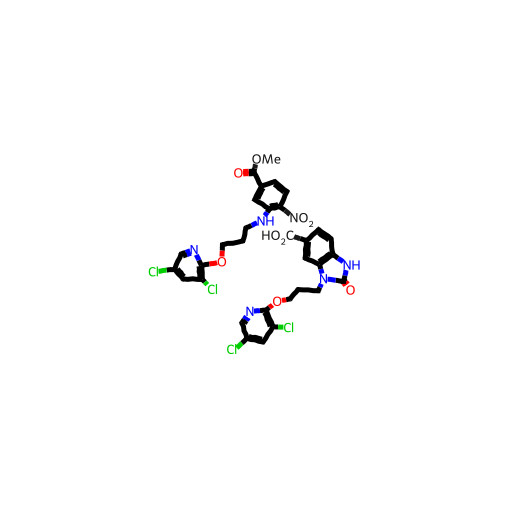 COC(=O)c1ccc([N+](=O)[O-])c(NCCCOc2ncc(Cl)cc2Cl)c1.O=C(O)c1ccc2[nH]c(=O)n(CCCOc3ncc(Cl)cc3Cl)c2c1